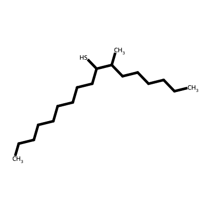 CCCCCCCCCC(S)C(C)CCCCCC